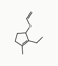 C=COC1CCC(C)=C1CC